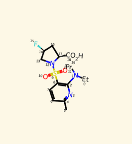 CCN(c1nc(C)ccc1S(=O)(=O)N1C[C@@H](F)C[C@H]1C(=O)O)C(C)C